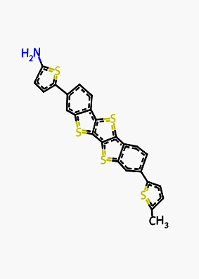 Cc1ccc(-c2ccc3c(c2)sc2c3sc3c4ccc(-c5ccc(N)s5)cc4sc32)s1